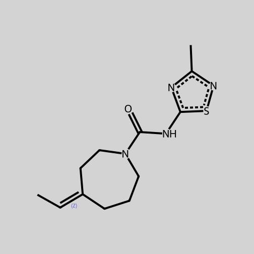 C/C=C1/CCCN(C(=O)Nc2nc(C)ns2)CC1